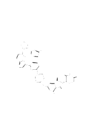 O=C1CCC(N2C(=O)c3cc(CN4CCN(c5cccc(-c6cnc7ccc(N8CCC[C@@H]8c8cccc(F)c8)nn67)n5)CC4)cc(F)c3C2=O)C(=O)N1